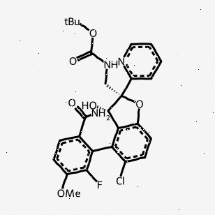 COc1ccc(C(N)=O)c(-c2c(Cl)ccc3c2[C@H](O)[C@@](CNC(=O)OC(C)(C)C)(c2ccccn2)O3)c1F